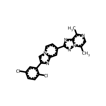 Cc1ncc(C)n2nc(-c3ccn4cc(-c5cc(Cl)ccc5Cl)nc4c3)nc12